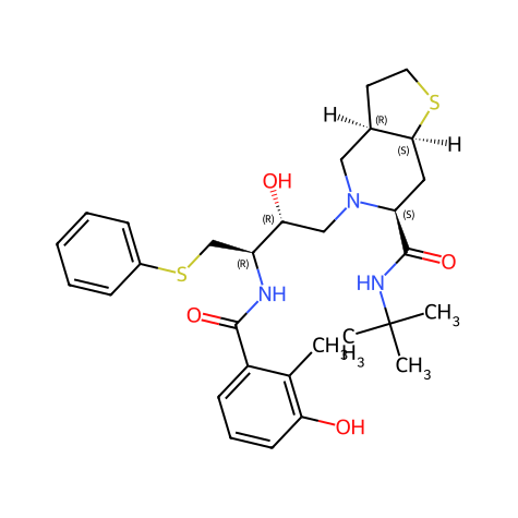 Cc1c(O)cccc1C(=O)N[C@@H](CSc1ccccc1)[C@H](O)CN1C[C@H]2CCS[C@H]2C[C@H]1C(=O)NC(C)(C)C